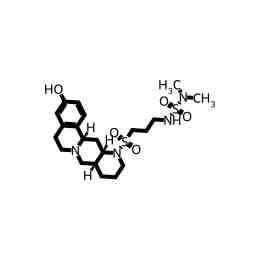 CN(C)S(=O)(=O)NCCCS(=O)(=O)N1CCC[C@@H]2CN3CCc4cc(O)ccc4[C@@H]3C[C@@H]21